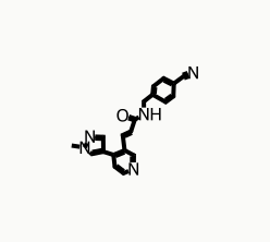 Cn1cc(-c2ccncc2C=CC(=O)NCc2ccc(C#N)cc2)cn1